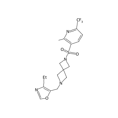 CCc1ncoc1CN1CC2(C1)CN(S(=O)(=O)c1ccc(C(F)(F)F)nc1C)C2